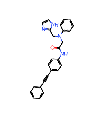 O=C(CN(Cc1ncc[nH]1)c1ccccc1)Nc1ccc(C#Cc2ccccc2)cc1